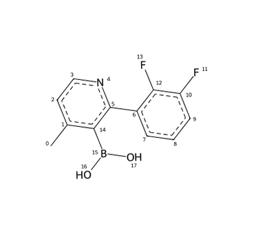 Cc1ccnc(-c2cccc(F)c2F)c1B(O)O